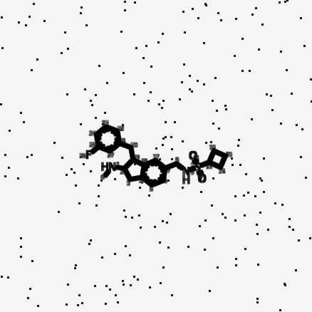 CNC1Cc2ccc(CNS(=O)(=O)C3CCC3)cc2C1Cc1cccc(F)c1